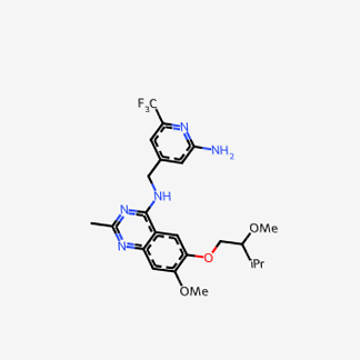 COc1cc2nc(C)nc(NCc3cc(N)nc(C(F)(F)F)c3)c2cc1OCC(OC)C(C)C